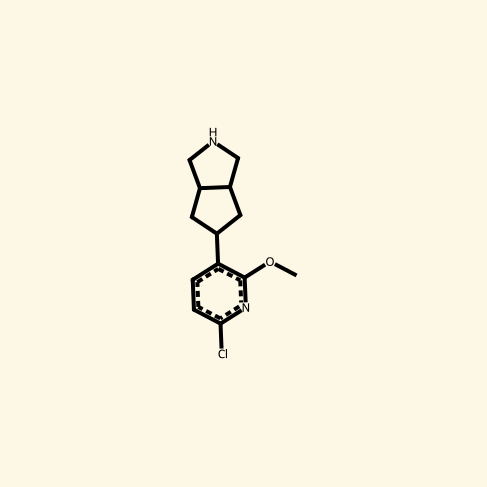 COc1nc(Cl)ccc1C1CC2CNCC2C1